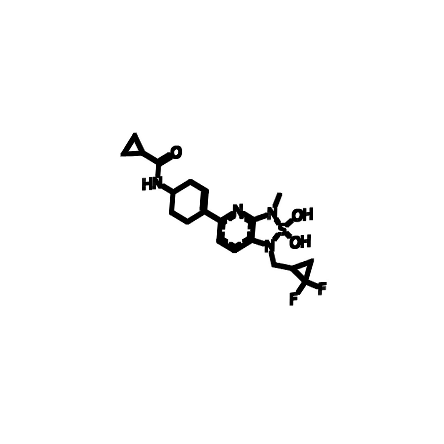 CN1c2nc(C3=CCC(NC(=O)C4CC4)CC3)ccc2N(CC2CC2(F)F)S1(O)O